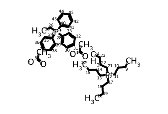 CC(=O)[O-].CC(=O)[O-].CCCC[P+](CCCC)(CCCC)CCCC.CC[P+](c1ccccc1)(c1ccccc1)c1ccccc1